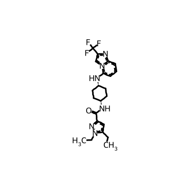 CCc1cc(C(=O)N[C@H]2CC[C@@H](Nc3cccc4nc(C(F)(F)F)cn34)CC2)nn1CC